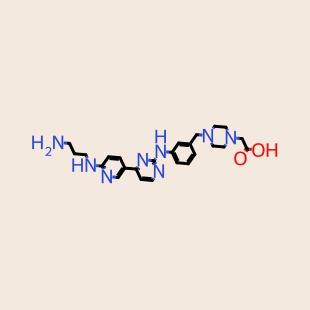 NCCCNc1ccc(-c2ccnc(Nc3cccc(CN4CCN(CC(=O)O)CC4)c3)n2)cn1